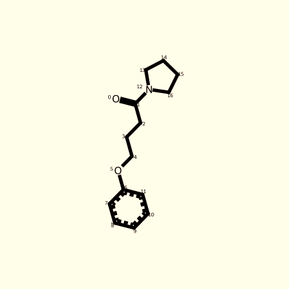 O=C(CCCOc1c[c]ccc1)N1CCCC1